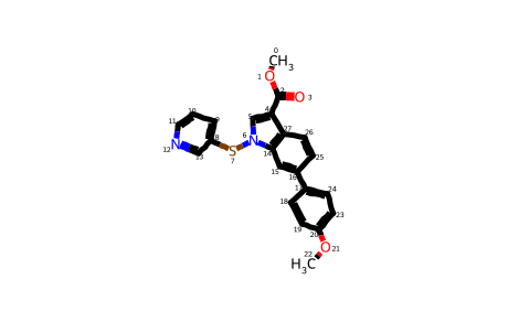 COC(=O)c1cn(Sc2cccnc2)c2cc(-c3ccc(OC)cc3)ccc12